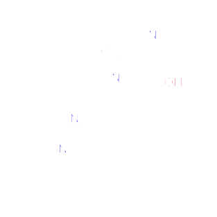 Cn1cc2c(c1)C(O)CCN(CCCN1CCN(c3ccccc3)CC1)C2=O